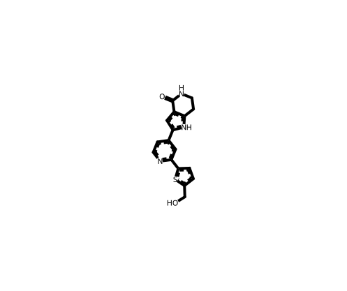 O=C1NCCc2[nH]c(-c3ccnc(-c4ccc(CO)s4)c3)cc21